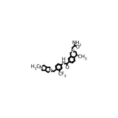 C[C@H]1CN(CC(N)=O)Cc2cc(C(=O)Nc3ccc(CN4CC5CN(C)CC5C4)c(C(F)(F)F)c3)ccc21